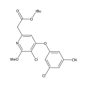 COc1nc(CC(=O)OC(C)(C)C)cc(Oc2cc(Cl)cc(C#N)c2)c1Cl